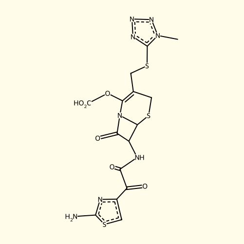 Cn1nnnc1SCC1=C(OC(=O)O)N2C(=O)C(NC(=O)C(=O)c3csc(N)n3)C2SC1